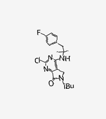 CCC(C)N1Cc2c(NC(C)(C)Cc3ccc(F)cc3)nc(Cl)nc2C1=O